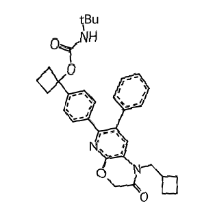 CC(C)(C)NC(=O)OC1(c2ccc(-c3nc4c(cc3-c3ccccc3)N(CC3CCC3)C(=O)CO4)cc2)CCC1